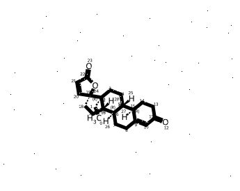 CC[C@]12CC[C@H]3[C@@H](CCC4=CC(=O)CC[C@@H]43)[C@@H]1CC[C@@]21C=CC(=O)O1